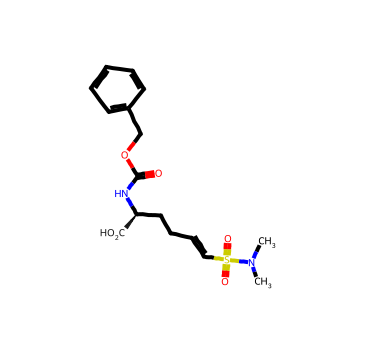 CN(C)S(=O)(=O)/C=C/CC[C@H](NC(=O)OCc1ccccc1)C(=O)O